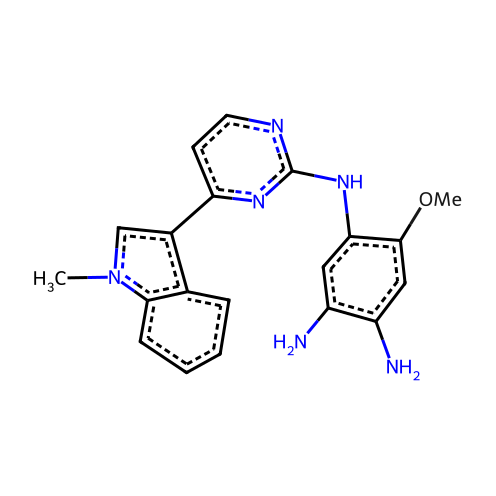 COc1cc(N)c(N)cc1Nc1nccc(-c2cn(C)c3ccccc23)n1